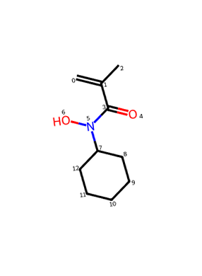 C=C(C)C(=O)N(O)C1CCCCC1